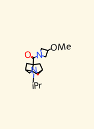 COC1CN(C(=O)C23CC4CC2C(CN(C(C)C)C4)C3)C1